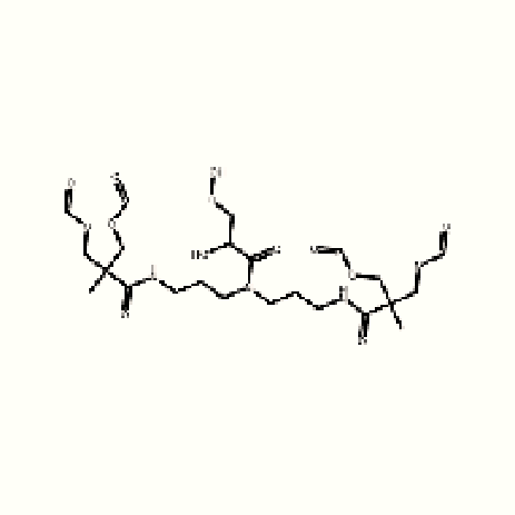 CC(COC=O)(COC=O)C(=O)NCCCN(CCCNC(=O)C(C)(COC=O)COC=O)C(=O)C(O)COO